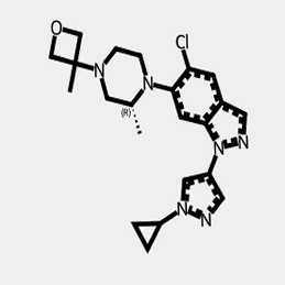 C[C@@H]1CN(C2(C)COC2)CCN1c1cc2c(cnn2-c2cnn(C3CC3)c2)cc1Cl